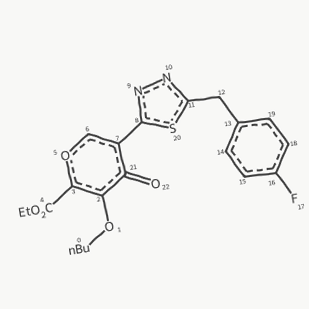 CCCCOc1c(C(=O)OCC)occ(-c2nnc(Cc3ccc(F)cc3)s2)c1=O